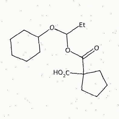 CCC(OC(=O)C1(C(=O)O)CCCC1)OC1CCCCC1